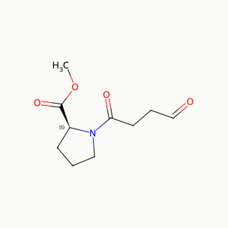 COC(=O)[C@@H]1CCCN1C(=O)CCC=O